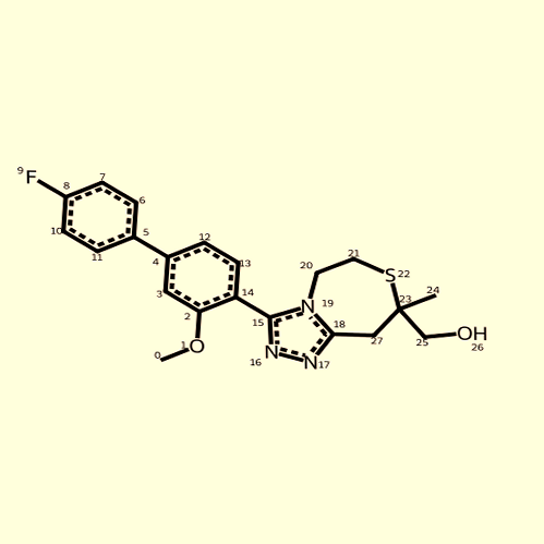 COc1cc(-c2ccc(F)cc2)ccc1-c1nnc2n1CCSC(C)(CO)C2